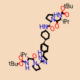 CC(C)[C@@H](NC(=O)OC(C)(C)C)C(=O)N1CCC[C@H]1C(=O)N[C@H]1CC[C@H](c2ccc(-c3cnc([C@@H]4CCCN4C(=O)[C@H](NC(=O)OC(C)(C)C)C(C)C)[nH]3)cc2)CC1